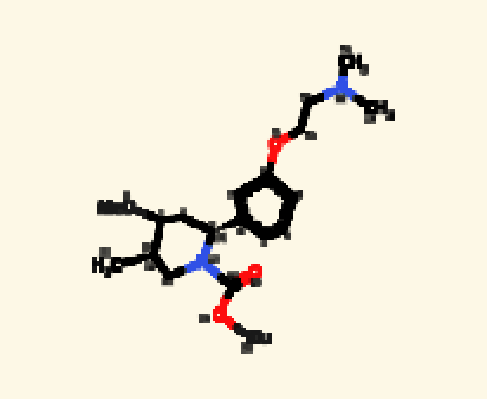 COC1C[C@H](c2cccc(OCCN(C)C)c2)N(C(=O)OC(C)(C)C)C[C@H]1C